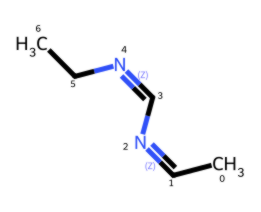 C/C=N\C=N/CC